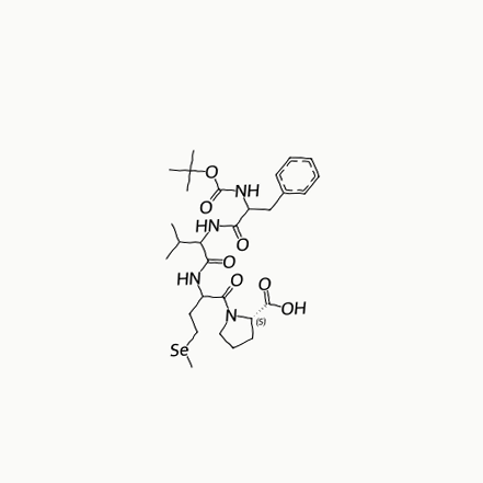 C[Se]CCC(NC(=O)C(NC(=O)C(Cc1ccccc1)NC(=O)OC(C)(C)C)C(C)C)C(=O)N1CCC[C@H]1C(=O)O